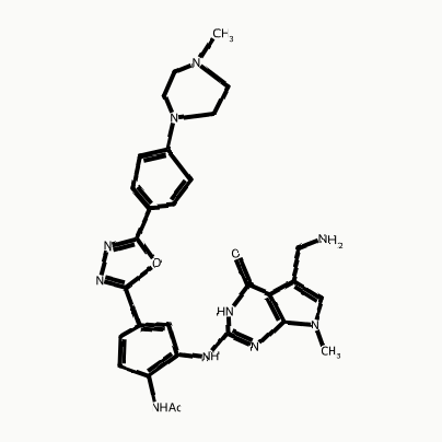 CC(=O)Nc1ccc(-c2nnc(-c3ccc(N4CCN(C)CC4)cc3)o2)cc1Nc1nc2c(c(CN)cn2C)c(=O)[nH]1